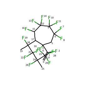 C=C(F)C1(F)CC(F)(F)C(F)(F)C(F)(F)C(F)C1C(C)(F)C(F)(F)C(C)(F)C(F)(F)F